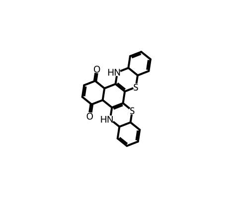 O=C1C=CC(=O)C2C3=C(SC4C=CC=CC4N3)C3=C(NC4C=CC=CC4S3)C12